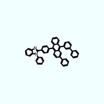 c1ccc(-c2cccc(-c3c4ccccc4c(-c4ccc(-c5nc6ccccc6n5-c5ccccc5)cc4)c4ccc(-c5ccccc5)cc34)c2)cc1